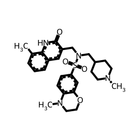 Cc1cccc2cc(CN(CC3CCN(C)CC3)S(=O)(=O)c3ccc4c(c3)OCCN4C)c(=O)[nH]c12